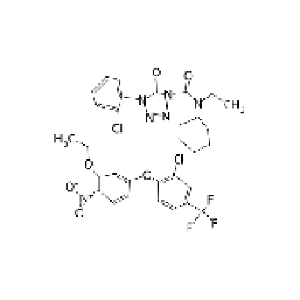 CCN(C(=O)n1nnn(-c2ccccc2Cl)c1=O)C1CCCCC1.CCOc1cc(Oc2ccc(C(F)(F)F)cc2Cl)ccc1[N+](=O)[O-]